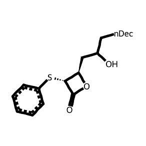 CCCCCCCCCCCC(O)C[C@H]1OC(=O)[C@@H]1Sc1ccccc1